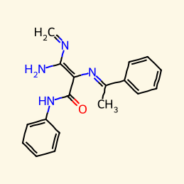 C=N/C(N)=C(\N=C(/C)c1ccccc1)C(=O)Nc1ccccc1